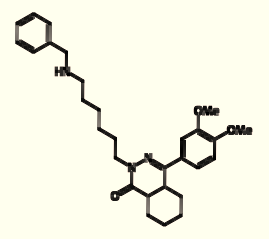 COc1ccc(C2=NN(CCCCCCNCc3ccccc3)C(=O)C3CCCCC23)cc1OC